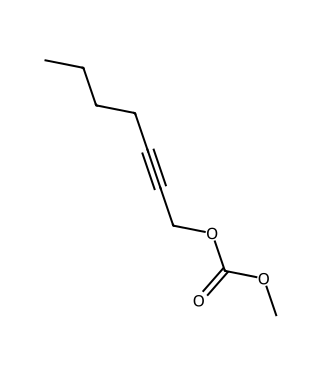 CCCCC#CCOC(=O)OC